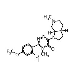 CN1CC[C@@H]2CCN(c3nnc(-c4ccc(OC(F)(F)F)cc4O)n(C)c3=O)[C@@H]2C1